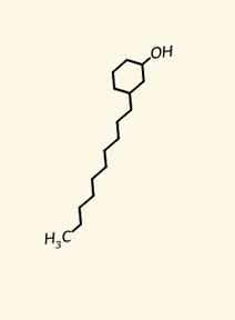 CCCCCCCCCCC1CCCC(O)C1